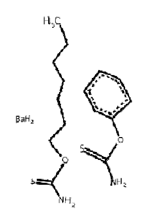 CCCCCCCOC(N)=S.NC(=S)Oc1ccccc1.[BaH2]